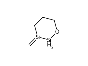 C=[Si]1CCCO[SiH2]1